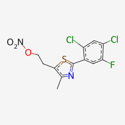 Cc1nc(-c2cc(F)c(Cl)cc2Cl)sc1CCO[N+](=O)[O-]